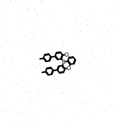 Cc1ccc(-c2ccc3c(c2)B2c4cc(-c5ccc(C)cc5)ccc4Oc4cccc(c42)O3)cc1